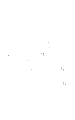 CNC(=O)c1cc(C)c(F)c(-c2cnn3cc(-c4cnn(CCC#N)c4)c(NC4CCOC4)nc23)c1